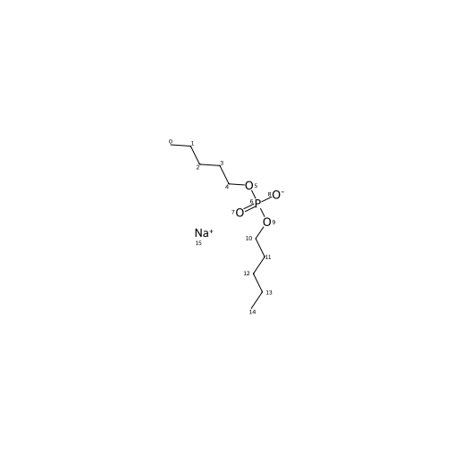 CCCCCOP(=O)([O-])OCCCCC.[Na+]